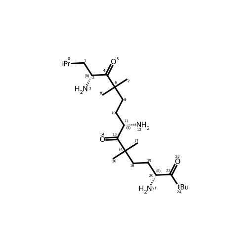 CC(C)C[C@@H](N)C(=O)C(C)(C)CC[C@H](N)C(=O)C(C)(C)CC[C@@H](N)C(=O)C(C)(C)C